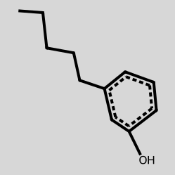 CCCCCc1cccc(O)c1